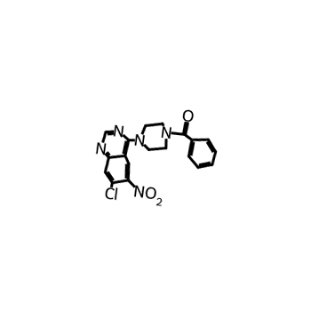 O=C(c1ccccc1)N1CCN(c2ncnc3cc(Cl)c([N+](=O)[O-])cc23)CC1